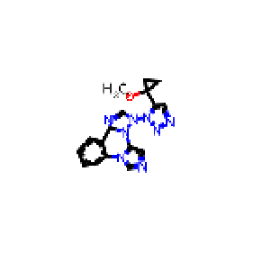 COC1(c2cnnn2N2C=NC3c4ccccc4-n4cncc4N32)CC1